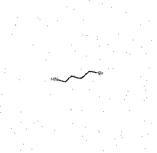 [NH]CCCCBr